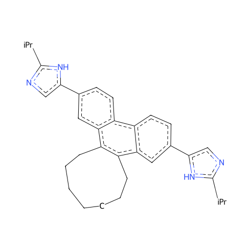 CC(C)c1ncc(-c2ccc3c(c2)c2c(c4cc(-c5cnc(C(C)C)[nH]5)ccc43)CCCCCCC2)[nH]1